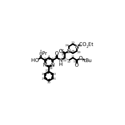 CCCC(O)c1cc(C(=O)N[C@@H](CCC(=O)OC(C)(C)C)C(=O)N2CCN(C(=O)OCC)CC2)nc(-c2ccccc2)n1